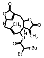 C=C1C(=O)OC2CC3=C[C@@H](C/C(C)=C/C(OC(=O)C(CC)CCCC)[C@H]12)OC3=O